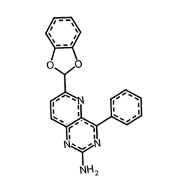 Nc1nc(-c2ccccc2)c2nc(C3Oc4ccccc4O3)ccc2n1